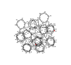 [CH3][Hf]([N]([Ge]([c]1ccccc1)([c]1ccccc1)[c]1ccccc1)[Ge]([c]1ccccc1)([c]1ccccc1)[c]1ccccc1)([N]([Ge]([c]1ccccc1)([c]1ccccc1)[c]1ccccc1)[Ge]([c]1ccccc1)([c]1ccccc1)[c]1ccccc1)[N]([Ge]([c]1ccccc1)([c]1ccccc1)[c]1ccccc1)[Ge]([c]1ccccc1)([c]1ccccc1)[c]1ccccc1